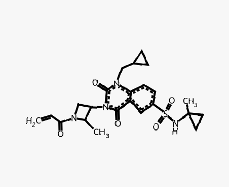 C=CC(=O)N1CC(n2c(=O)c3cc(S(=O)(=O)NC4(C)CC4)ccc3n(CC3CC3)c2=O)C1C